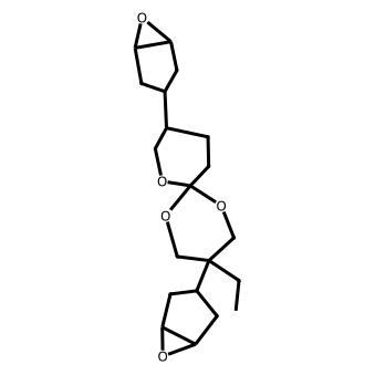 CCC1(C2CC3OC3C2)COC2(CCC(C3CC4OC4C3)CO2)OC1